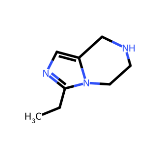 CCc1ncc2n1CCNC2